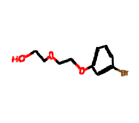 OCCOCCOc1cccc(Br)c1